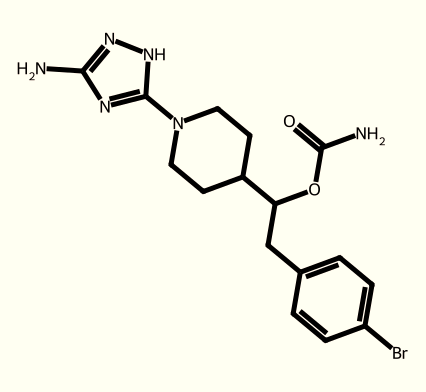 NC(=O)OC(Cc1ccc(Br)cc1)C1CCN(c2nc(N)n[nH]2)CC1